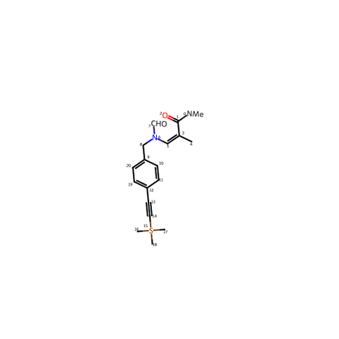 CNC(=O)/C(C)=C\N(C=O)Cc1ccc(C#CS(C)(C)C)cc1